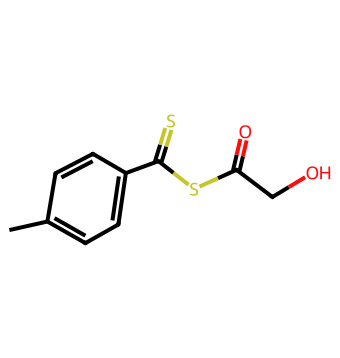 Cc1ccc(C(=S)SC(=O)CO)cc1